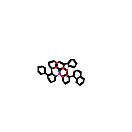 c1ccc(-c2ccccc2-c2c(-c3ccccc3)cccc2N(c2cccc(-c3cccc4ccccc34)c2)c2cccc3c2sc2ccccc23)cc1